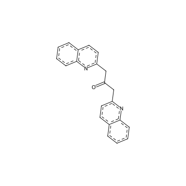 O=C(Cc1ccc2ccccc2n1)Cc1ccc2ccccc2n1